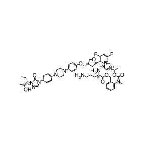 CC[C@@H]([C@H](C)O)n1ncn(-c2ccc(N3CCN(c4ccc(OC[C@@H]5CO[C@@](Cn6c[n+](C(C)OC(=O)N(C)c7ccccc7COC(=O)[C@@H](N)CCCN)cn6)(c6ccc(F)cc6F)C5)cc4)CC3)cc2)c1=O